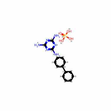 Nc1nc(N)nc(N)n1.O=P(O)(O)O.c1ccc(-c2ccccc2)cc1